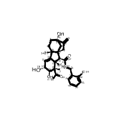 C=C1C[C@]23C[C@@]1(O)CC[C@H]2C1=C[C@@H](O)[C@H](O)[C@@](C)(C(=O)I)[C@H]1[C@@H]3C(=O)NCc1ccccc1F